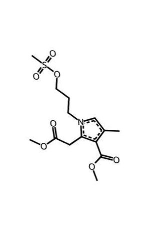 COC(=O)Cc1c(C(=O)OC)c(C)cn1CCCOS(C)(=O)=O